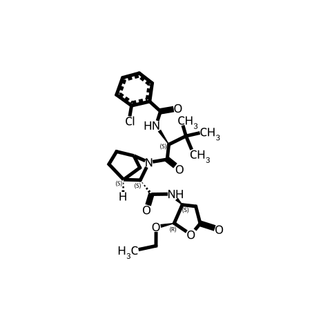 CCO[C@@H]1OC(=O)C[C@@H]1NC(=O)[C@@H]1[C@H]2CCC(C2)N1C(=O)[C@@H](NC(=O)c1ccccc1Cl)C(C)(C)C